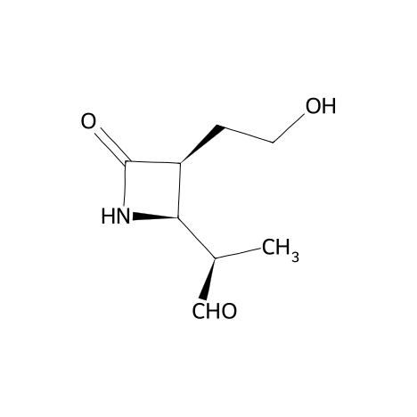 C[C@@H](C=O)[C@H]1NC(=O)[C@H]1CCO